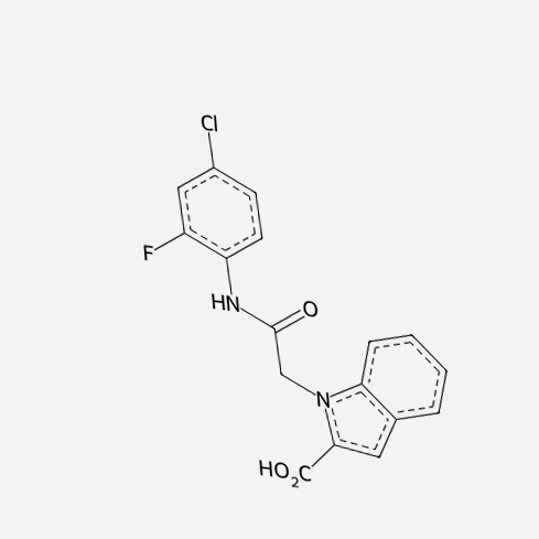 O=C(Cn1c(C(=O)O)cc2ccccc21)Nc1ccc(Cl)cc1F